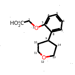 O=C(O)COc1ccccc1C1CCOCC1